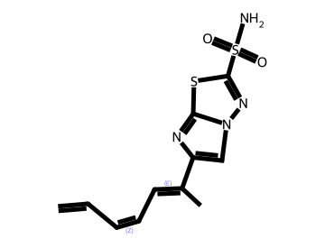 C=C/C=C\C=C(/C)c1cn2nc(S(N)(=O)=O)sc2n1